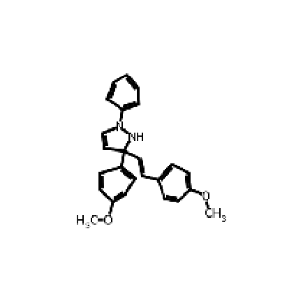 COc1ccc(C=CC2(c3ccc(OC)cc3)C=CN(c3ccccc3)N2)cc1